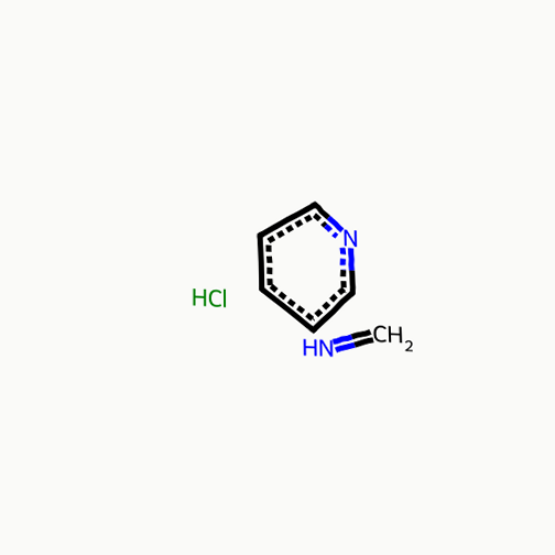 C=N.Cl.c1ccncc1